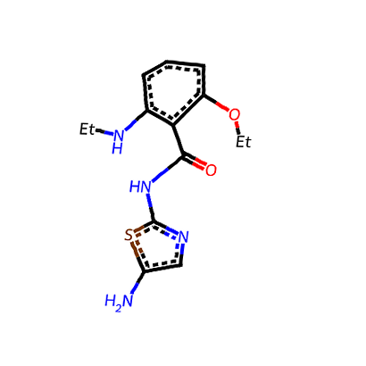 CCNc1cccc(OCC)c1C(=O)Nc1ncc(N)s1